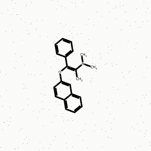 CC(=C(Oc1ccc2ccccc2c1)c1ccccc1)N(C)C